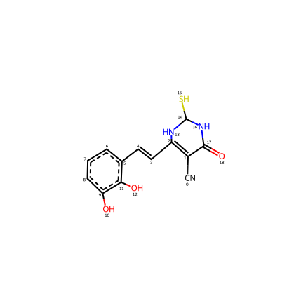 N#CC1=C(/C=C/c2cccc(O)c2O)NC(S)NC1=O